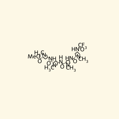 COC(=O)c1cc(NC(=O)c2cc(NC(=O)c3cc(NC(=O)c4cc(NC(=O)C(F)(F)F)cn4C)cn3C)cn2C)cn1C